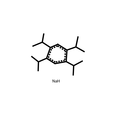 CC(C)c1[c]c(C(C)C)c(C(C)C)cc1C(C)C.[NaH]